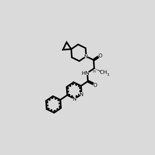 C[C@H](NC(=O)c1ccc(-c2ccccc2)nn1)C(=O)N1CCC2(CC1)CC2